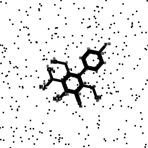 CC(C)c1c(CO)c(-c2ccc(F)cc2)c(CO)c(=O)n1C